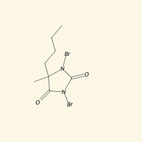 CCCCC1(C)C(=O)N(Br)C(=O)N1Br